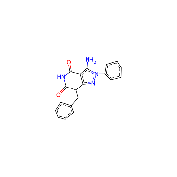 Nc1c2c(nn1-c1ccccc1)C(Cc1ccccc1)C(=O)NC2=O